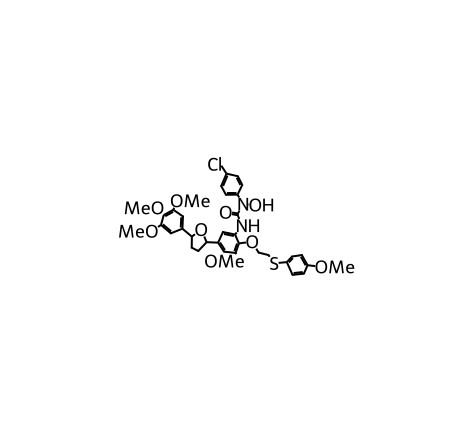 COc1ccc(SCCOc2c(NC(=O)N(O)c3ccc(Cl)cc3)cc(C3CCC(c4cc(OC)c(OC)c(OC)c4)O3)cc2OC)cc1